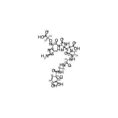 CC(C)(O/N=C(\C(=O)NC1C(=O)N2CC(C(=O)O)(N3CCN(NCC(=O)NCCNC(=O)c4ccc(O)c(O)c4Cl)C3=O)S[C@H]12)c1csc(N)n1)C(=O)O